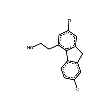 OCCc1cc(Cl)cc2c1-c1ccc(Cl)cc1C2